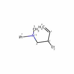 C=CC(CC)CN(C)C(C)C